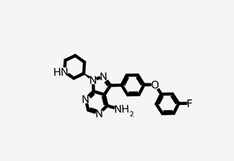 Nc1ncnc2c1c(-c1ccc(Oc3cccc(F)c3)cc1)nn2[C@@H]1CCCNC1